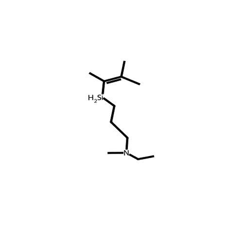 CCN(C)CCC[SiH2]C(C)=C(C)C